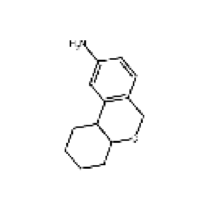 Nc1ccc2c(c1)C1CCCCC1OC2